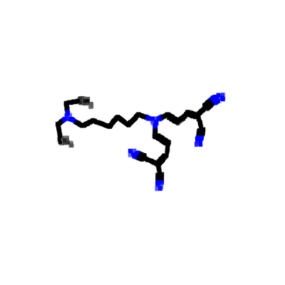 CCN(CC)CCCCCCN(C=CC=C(C#N)C#N)C=CC=C(C#N)C#N